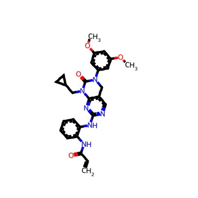 C=CC(=O)Nc1ccccc1Nc1ncc2c(n1)N(CC1CC1)C(=O)N(c1cc(OC)cc(OC)c1)C2